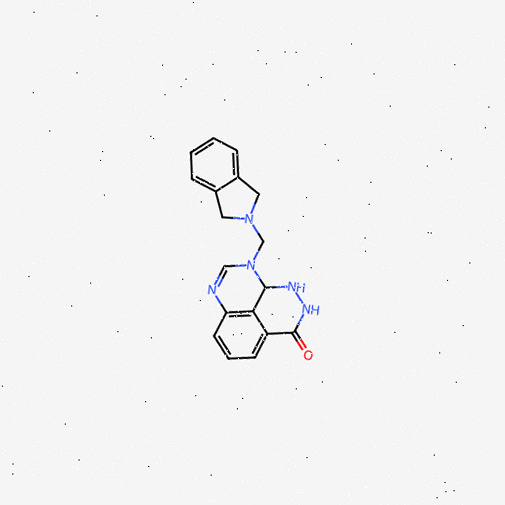 O=C1NNC2c3c(cccc31)N=CN2CN1Cc2ccccc2C1